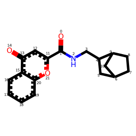 O=C(NCC1CC2CCC1C2)c1cc(=O)c2ccccc2o1